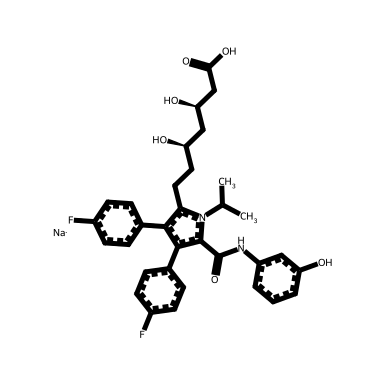 CC(C)n1c(CC[C@@H](O)C[C@@H](O)CC(=O)O)c(-c2ccc(F)cc2)c(-c2ccc(F)cc2)c1C(=O)Nc1cccc(O)c1.[Na]